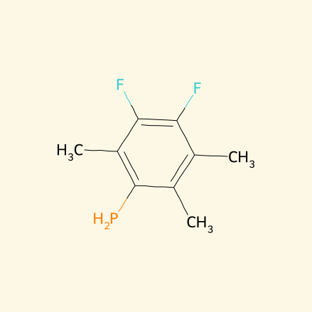 Cc1c(C)c(P)c(C)c(F)c1F